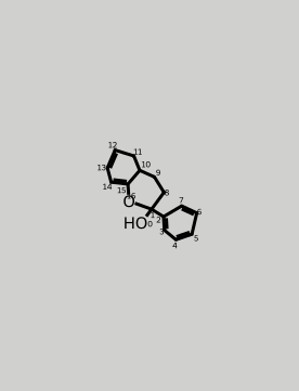 OC1(c2ccccc2)CCC2CC=CC=C2O1